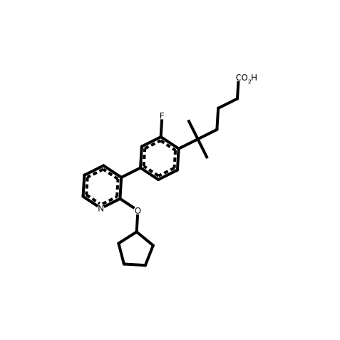 CC(C)(CCCC(=O)O)c1ccc(-c2cccnc2OC2CCCC2)cc1F